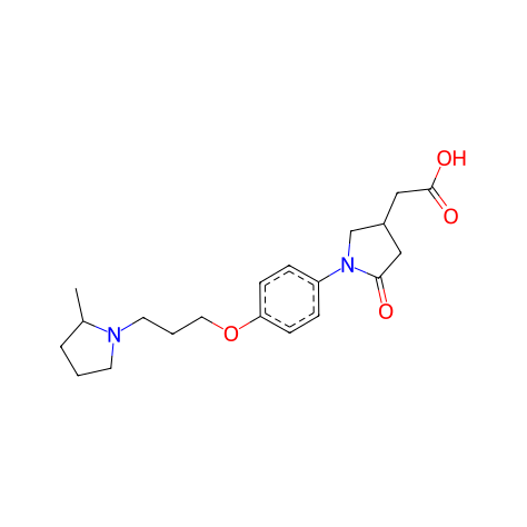 CC1CCCN1CCCOc1ccc(N2CC(CC(=O)O)CC2=O)cc1